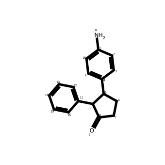 Nc1ccc(C2CCC(=O)C2c2ccccc2)cc1